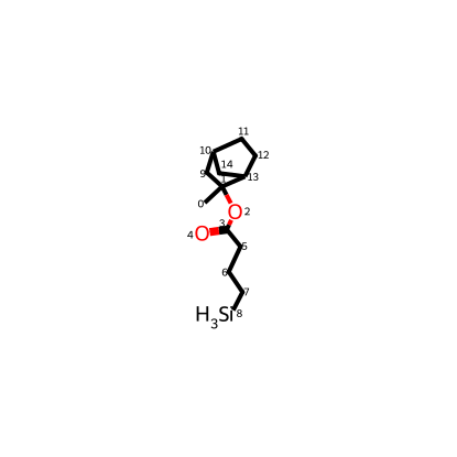 CC1(OC(=O)CCC[SiH3])CC2CCC1C2